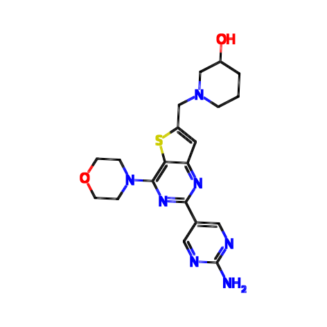 Nc1ncc(-c2nc(N3CCOCC3)c3sc(CN4CCCC(O)C4)cc3n2)cn1